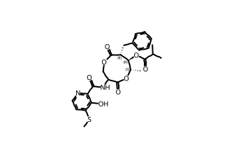 CSc1ccnc(C(=O)NC2COC(=O)[C@H](Cc3ccccc3)[C@@H](OC(=O)C(C)C)[C@H](C)OC2=O)c1O